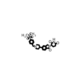 CN(C)S(=O)(=O)c1ccc(CN2CCC(c3ccc4c(c3)CN([C@H]3CCC(=O)NC3=O)C4=O)CC2)cc1